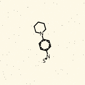 S=Nc1ccc(N2CCCCC2)cc1